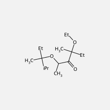 CCOC(C)(CC)C(=O)C(C)OC(C)(CC)C(C)C